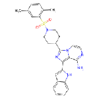 Cc1ccc(C)c(S(=O)(=O)N2CCC(c3nc(-c4cc5ccccc5[nH]4)c4c(N)nccn34)CC2)c1